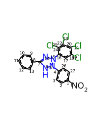 O=[N+]([O-])c1ccc(N2NC(c3ccccc3)=NN2c2cc(Cl)c(Cl)c(Cl)c2Cl)cc1